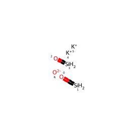 O=[SiH2].O=[SiH2].[K+].[K+].[O-2]